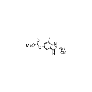 COC(=O)Oc1cc(C)c2nc(NC#N)[nH]c2c1